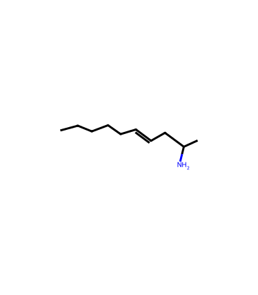 CCCCCC=CCC(C)N